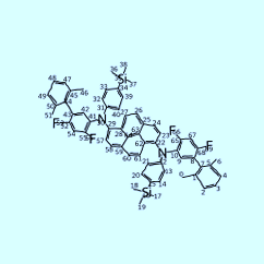 Cc1cccc(C)c1-c1cc(N(c2ccc([Si](C)(C)C)cc2)c2ccc3ccc4c(N(c5ccc([Si](C)(C)C)cc5)c5cc(-c6c(C)cccc6C)c(F)cc5F)ccc5ccc2c3c54)c(F)cc1F